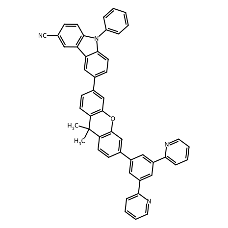 CC1(C)c2ccc(-c3cc(-c4ccccn4)cc(-c4ccccn4)c3)cc2Oc2cc(-c3ccc4c(c3)c3cc(C#N)ccc3n4-c3ccccc3)ccc21